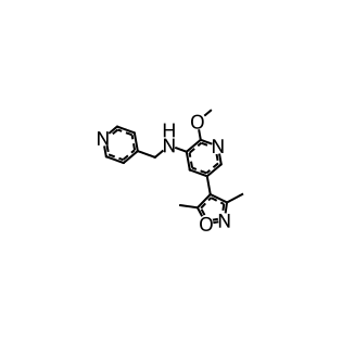 COc1ncc(-c2c(C)noc2C)cc1NCc1ccncc1